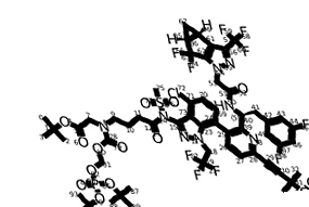 CC(C)(C)OC(=O)CN(CCCC(=O)N(c1nn(CC(F)(F)F)c2c(-c3ccc(C#CC(C)(C)S(C)(=O)=O)nc3[C@H](Cc3cc(F)cc(F)c3)NC(=O)Cn3nc(C(F)(F)F)c4c3C(F)(F)[C@@H]3C[C@H]43)ccc(Cl)c12)S(C)(=O)=O)C(=O)OCOP(=O)(OC(C)(C)C)OC(C)(C)C